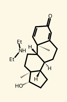 CCNCC.C[C@]12CC[C@H]3[C@@H](CCC4=CC(=O)C=C[C@@]43C)[C@@H]1CC[C@@H]2O